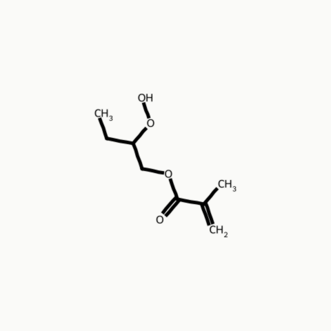 C=C(C)C(=O)OCC(CC)OO